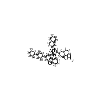 CC12C=CC=CC1=CC(c1nc(-c3ccc4ccccc4c3)nc(-c3cc(-c4ccc(-c5ccccc5)cc4)cc4oc5ccccc5c34)n1)=CC2